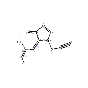 C#CCn1cnc(=C)/c1=C\C(=C/C)C(F)(F)F